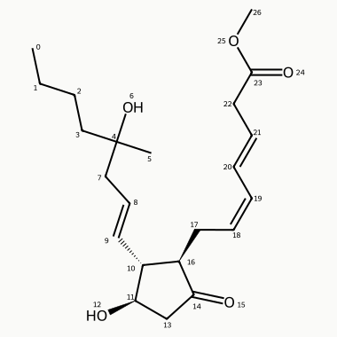 CCCCC(C)(O)CC=C[C@H]1[C@H](O)CC(=O)[C@@H]1C/C=C\C=CCC(=O)OC